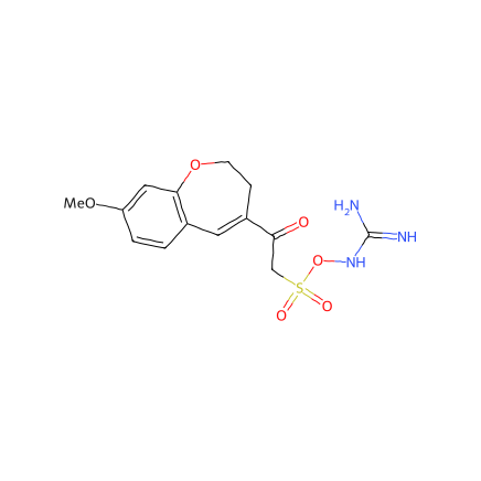 COc1ccc2c(c1)OCCC(C(=O)CS(=O)(=O)ONC(=N)N)=C2